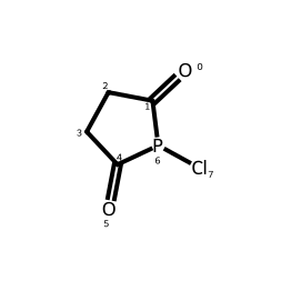 O=C1CCC(=O)P1Cl